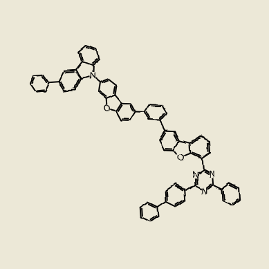 c1ccc(-c2ccc(-c3nc(-c4ccccc4)nc(-c4cccc5c4oc4ccc(-c6cccc(-c7ccc8oc9cc(-n%10c%11ccccc%11c%11cc(-c%12ccccc%12)ccc%11%10)ccc9c8c7)c6)cc45)n3)cc2)cc1